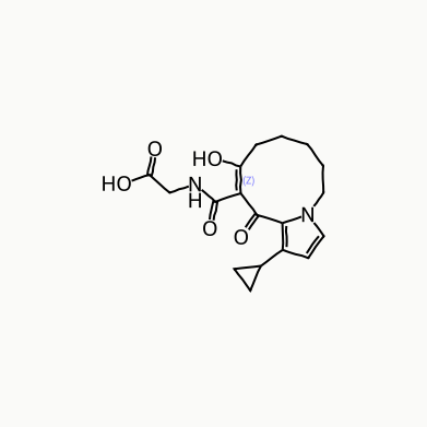 O=C(O)CNC(=O)/C1=C(\O)CCCCCn2ccc(C3CC3)c2C1=O